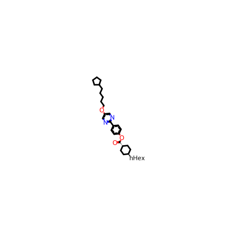 CCCCCC[C@H]1CC[C@H](C(=O)Oc2ccc(-c3ncc(OCCCCCC4CCCC4)cn3)cc2)CC1